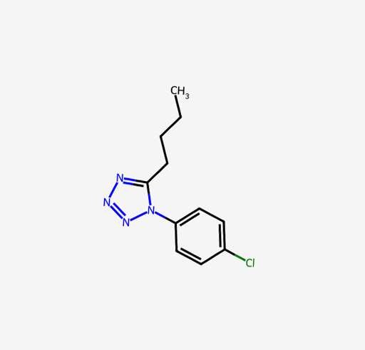 CCCCc1nnnn1-c1ccc(Cl)cc1